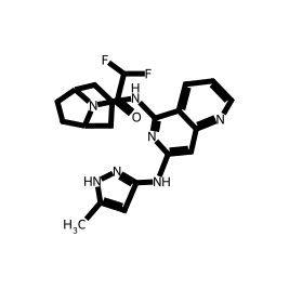 Cc1cc(Nc2cc3ncccc3c(NC3CC4CCC(C3)N4C(=O)C(F)F)n2)n[nH]1